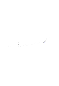 CCCCCCCC/C=C\CCCCCCCCN(CC(=O)O)CC(=O)O